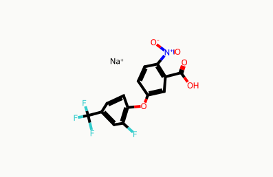 O=C(O)c1cc(Oc2ccc(C(F)(F)F)cc2F)ccc1[N+](=O)[O-].[Na+]